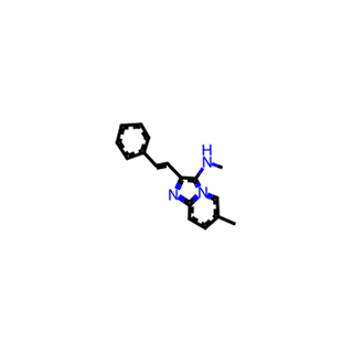 CNc1c(/C=C/c2ccccc2)nc2ccc(C)cn12